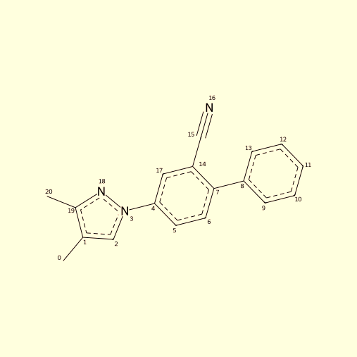 Cc1cn(-c2ccc(-c3ccccc3)c(C#N)c2)nc1C